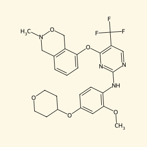 COc1cc(OC2CCOCC2)ccc1Nc1ncc(C(F)(F)F)c(Oc2cccc3c2CON(C)C3)n1